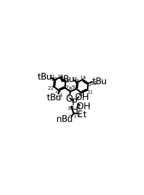 CCCCC(CC)C[PH](O)(O)OC(c1ccc(C(C)(C)C)cc1C(C)(C)C)c1ccc(C(C)(C)C)cc1C(C)(C)C